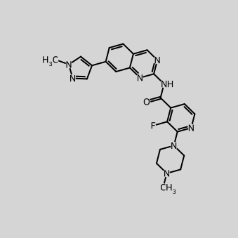 CN1CCN(c2nccc(C(=O)Nc3ncc4ccc(-c5cnn(C)c5)cc4n3)c2F)CC1